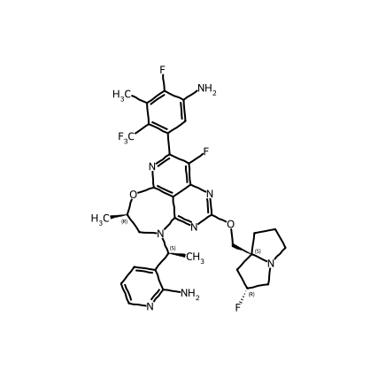 Cc1c(F)c(N)cc(-c2nc3c4c(nc(OC[C@@]56CCCN5C[C@H](F)C6)nc4c2F)N([C@@H](C)c2cccnc2N)C[C@@H](C)O3)c1C(F)(F)F